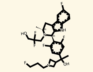 C[C@@H]1Cc2c([nH]c3ccc(F)cc23)[C@@H](c2c(F)cc(C(C)(O)C3CN(CCCF)C3)cc2F)N1CC(F)(F)CO